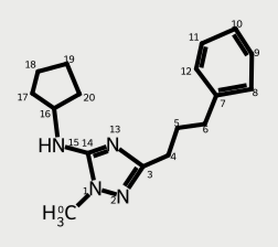 Cn1nc(CCCc2ccccc2)nc1NC1CCCC1